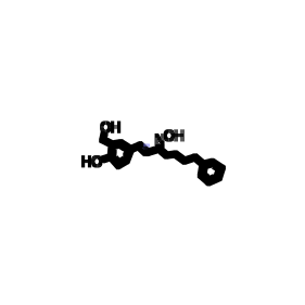 OCc1cc(/C=C/C(CCCCc2ccccc2)=NO)ccc1O